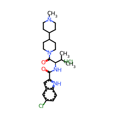 CC(C)[C@@H](NC(=O)c1cc2cc(Cl)ccc2[nH]1)C(=O)N1CCC(C2CCN(C)CC2)CC1.Cl